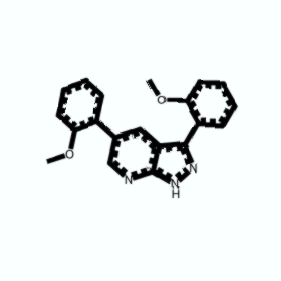 COc1ccccc1-c1cnc2[nH]nc(-c3ccccc3OC)c2c1